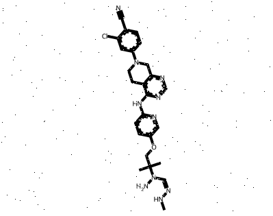 CN/N=C\N(N)C(C)(C)COc1ccc(Nc2ncnc3c2CCN(c2ccc(C#N)c(Cl)c2)C3)nc1